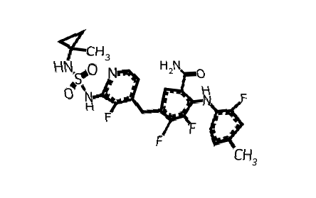 Cc1ccc(Nc2c(C(N)=O)cc(Cc3ccnc(NS(=O)(=O)NC4(C)CC4)c3F)c(F)c2F)c(F)c1